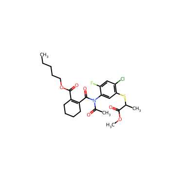 CCCCCOC(=O)C1=C(C(=O)N(C(C)=O)c2cc(SC(C)C(=O)OC)c(Cl)cc2F)CCCC1